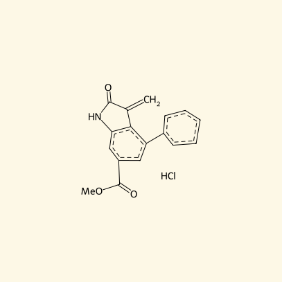 C=C1C(=O)Nc2cc(C(=O)OC)cc(-c3ccccc3)c21.Cl